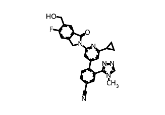 Cn1cnnc1-c1cc(C#N)ccc1-c1cc(C2CC2)nc(N2Cc3cc(F)c(CO)cc3C2=O)c1